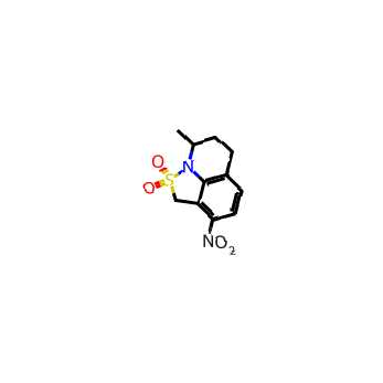 CC1CCc2ccc([N+](=O)[O-])c3c2N1S(=O)(=O)C3